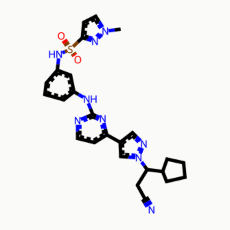 Cn1ccc(S(=O)(=O)Nc2cccc(Nc3nccc(-c4cnn(C(CC#N)C5CCCC5)c4)n3)c2)n1